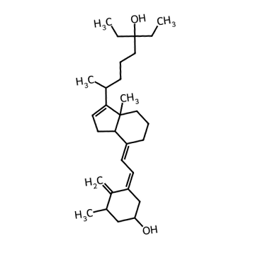 C=C1/C(=C\C=C2/CCCC3(C)C(C(C)CCCC(O)(CC)CC)=CCC23)CC(O)CC1C